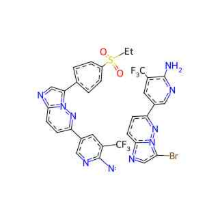 CCS(=O)(=O)c1ccc(-c2cnc3ccc(-c4cnc([N])c(C(F)(F)F)c4)nn23)cc1.Nc1ncc(-c2ccc3ncc(Br)n3n2)cc1C(F)(F)F